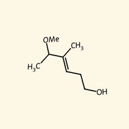 COC(C)/C(C)=C/CCO